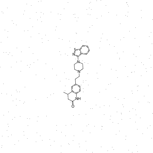 CC1CC(=O)Nc2ccc(CCN3CCN(c4nsc5ccccc45)CC3)cc21